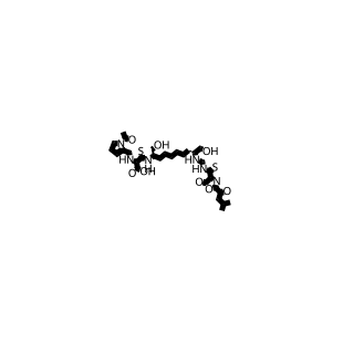 CC(=O)N1CCC=C1CNC(C(=O)O)C(=S)N[C@@H](CO)CCCCCC[C@H](CO)NCNC(=S)C1N=C(C(=O)CC(C)C)OC1=O